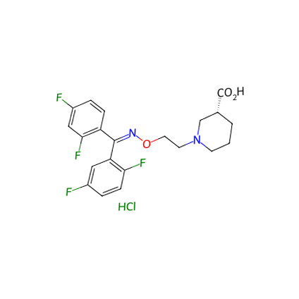 Cl.O=C(O)[C@@H]1CCCN(CCON=C(c2ccc(F)cc2F)c2cc(F)ccc2F)C1